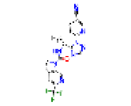 CC(NC(=O)N1CCc2cc(C(F)(F)F)ncc21)c1ncnn1-c1ccc(C#N)cn1